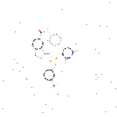 Cc1cc(N2CCC(N(C)C(=O)c3ccc4c(c3)C(N(C)S(=O)(=O)Cc3cccc(C(F)(F)F)c3)CC4)CC2)cc(C)n1